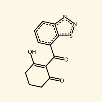 O=C1CCCC(O)=C1C(=O)c1cccc2nnsc12